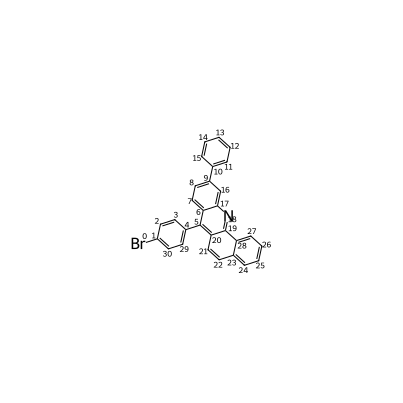 Brc1ccc(-c2c3ccc(-c4ccccc4)cc3nc3c2ccc2ccccc23)cc1